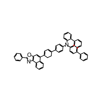 C1=C(c2ccc(N(c3ccc(-c4ccccc4)cc3)c3ccccc3-c3ccccc3)cc2)CCC(c2cc3oc(-c4ccccc4)nc3c3ccccc23)=C1